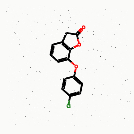 O=C1Cc2cccc(Oc3ccc(Cl)cc3)c2O1